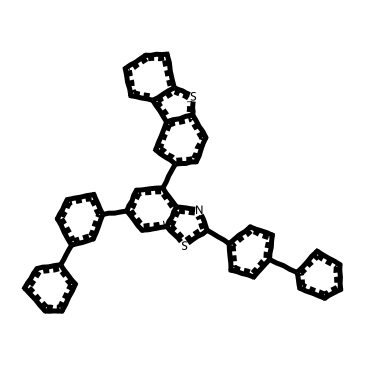 c1ccc(-c2ccc(-c3nc4c(-c5ccc6sc7ccccc7c6c5)cc(-c5cccc(-c6ccccc6)c5)cc4s3)cc2)cc1